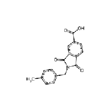 Cc1ccc(CN2C(=O)c3ccc(C(=O)O)cc3C2=O)cc1